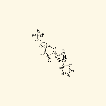 C#CCN(C(=O)C(C)CSCCC(F)(F)F)c1sc(-c2cccnc2)nc1C